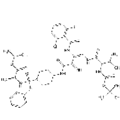 CC(C)OC(=O)[C@H](C)NP(=O)(Oc1ccccc1)N1CCC(NC(=O)C(=N)/C(=C\NC(=O)[C@@H](NC(=O)OC(C)(C)C)C(C)C)NC(=O)c2c(Cl)cccc2Cl)CC1